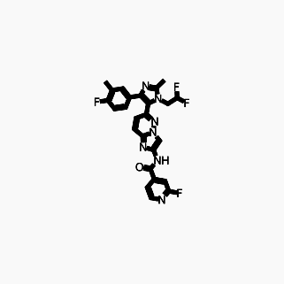 Cc1cc(-c2nc(C)n(CC(F)F)c2-c2ccc3nc(NC(=O)c4ccnc(F)c4)cn3n2)ccc1F